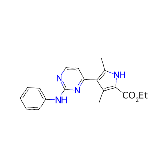 CCOC(=O)c1[nH]c(C)c(-c2ccnc(Nc3ccccc3)n2)c1C